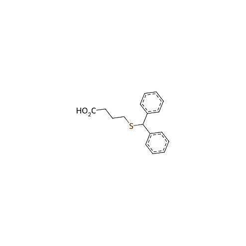 O=C(O)CCCSC(c1ccccc1)c1ccccc1